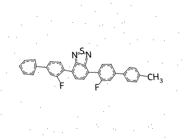 Cc1ccc(-c2ccc(-c3ccc(-c4ccc(-c5ccccc5)cc4F)c4nsnc34)c(F)c2)cc1